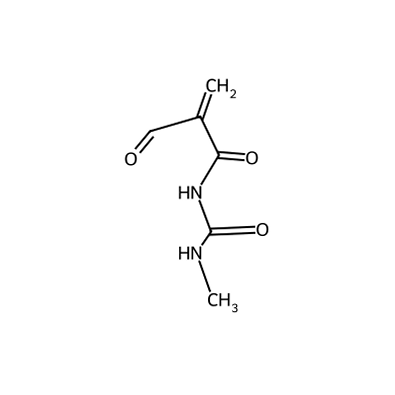 C=C(C=O)C(=O)NC(=O)NC